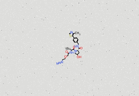 Cc1ncsc1-c1ccc(CNC(=O)[C@@H]2C[C@@H](O)CN2C(=O)[C@@H](NC(=O)COCCN=[N+]=[N-])C(C)(C)C)cc1